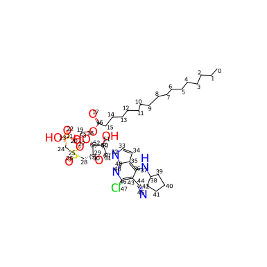 CCCCCCCCCCCCCCCCC(=O)OCOP(=O)(O)CS(=O)(=O)C[C@H]1O[C@@H](n2ccc3c(NC4CCCC4)c(C#N)c(Cl)nc32)[C@H](O)[C@@H]1O